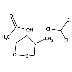 CC(=O)O.CN1CCOCC1.ClC(Cl)Cl